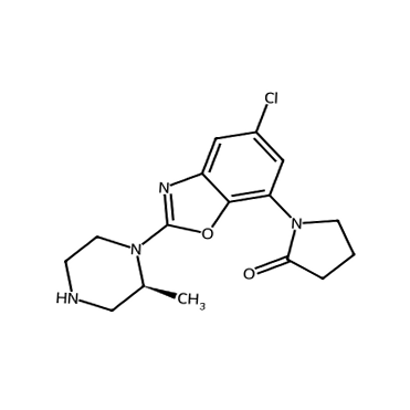 C[C@H]1CNCCN1c1nc2cc(Cl)cc(N3CCCC3=O)c2o1